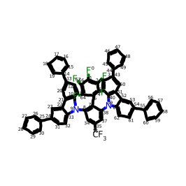 Fc1c(F)c(F)c(-c2c(-n3c4ccc(-c5ccccc5)cc4c4cc(-c5ccccc5)ccc43)cc(C(F)(F)F)cc2-n2c3ccc(-c4ccccc4)cc3c3cc(-c4ccccc4)ccc32)c(F)c1F